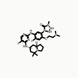 CN(C)CCOc1cc(F)c(Nc2ncc(F)c(N[C@@H]3C[C@@H]4CCCN4C(C)(C)C3)n2)cc1N1NNN(C)C1=O